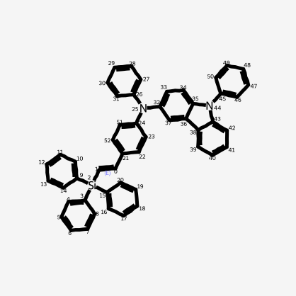 C(=C\[Si](c1ccccc1)(c1ccccc1)c1ccccc1)/c1ccc(N(c2ccccc2)c2ccc3c(c2)c2ccccc2n3-c2ccccc2)cc1